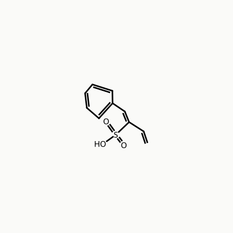 C=CC(=Cc1ccccc1)S(=O)(=O)O